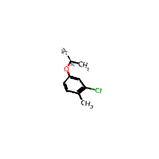 Cc1ccc(O[C@H](C)C(C)C)cc1Cl